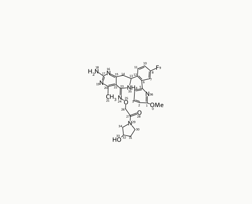 COc1cccc(-c2cc(F)ccc2C2Cc3nc(N)nc(C)c3C(=NOCC(=O)N3CCC(O)C3)N2)n1